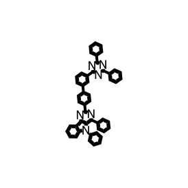 c1ccc(-c2nc(-c3ccccc3)nc(-c3cccc(-c4ccc(-c5nc(-c6ccccc6)c6c(n5)c5ccccc5n6-c5ccccc5)cc4)c3)n2)cc1